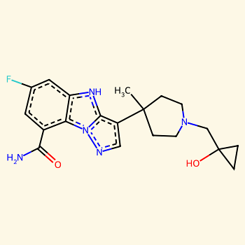 CC1(c2cnn3c2[nH]c2cc(F)cc(C(N)=O)c23)CCN(CC2(O)CC2)CC1